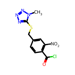 Cn1nnnc1SCc1ccc(C(=O)Cl)c([N+](=O)[O-])c1